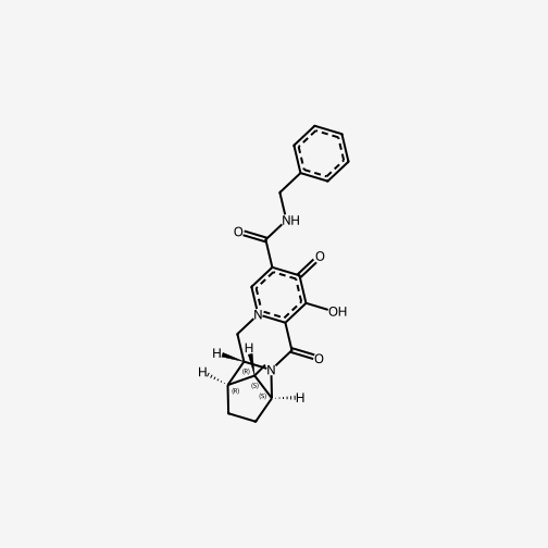 C[C@H]1[C@H]2CC[C@@H]1N1C(=O)c3c(O)c(=O)c(C(=O)NCc4ccccc4)cn3C[C@@H]21